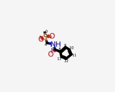 CS(=O)(=O)CNC(=O)c1ccccc1